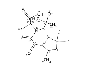 CC1CC(F)(F)CN1C(=O)C1=CS[C@@H](C(=O)O)N1CC(C)(C)O